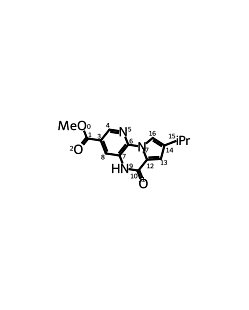 COC(=O)c1cnc2c(c1)[nH]c(=O)c1cc(C(C)C)cn12